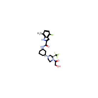 Cc1ccc(F)c2cc(C(=O)N[C@@H]3CCC[C@H](N4CCN(C(=O)CO)[C@H](C(F)(F)F)C4)C3)[nH]c12